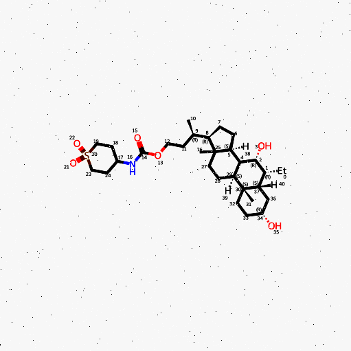 CC[C@H]1[C@@H](O)C2[C@@H]3CC[C@H]([C@H](C)CCOC(=O)NC4CCS(=O)(=O)CC4)C3(C)CC[C@@H]2[C@@]2(C)CC[C@@H](O)C[C@@H]12